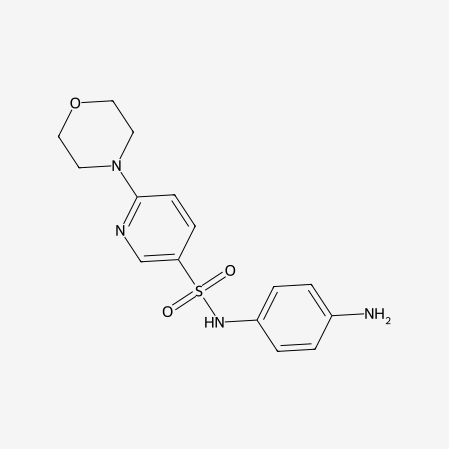 Nc1ccc(NS(=O)(=O)c2ccc(N3CCOCC3)nc2)cc1